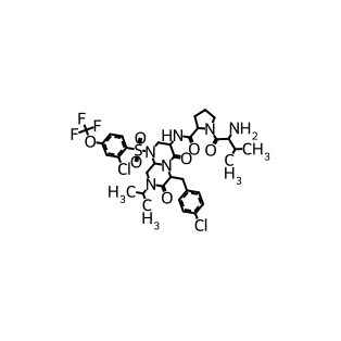 CC(C)C(N)C(=O)N1CCCC1C(=O)NC1CN(S(=O)(=O)c2ccc(OC(F)(F)F)cc2Cl)C2CN(C(C)C)C(=O)C(Cc3ccc(Cl)cc3)N2C1=O